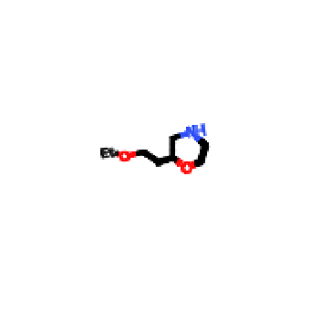 CCOCCC1CNCCO1